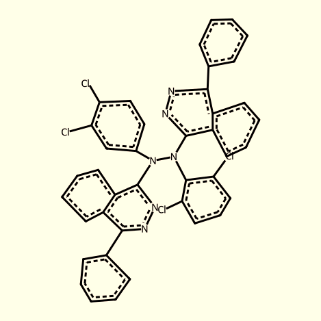 Clc1ccc(N(c2nnc(-c3ccccc3)c3ccccc23)N(c2c(Cl)cccc2Cl)c2nnc(-c3ccccc3)c3ccccc23)cc1Cl